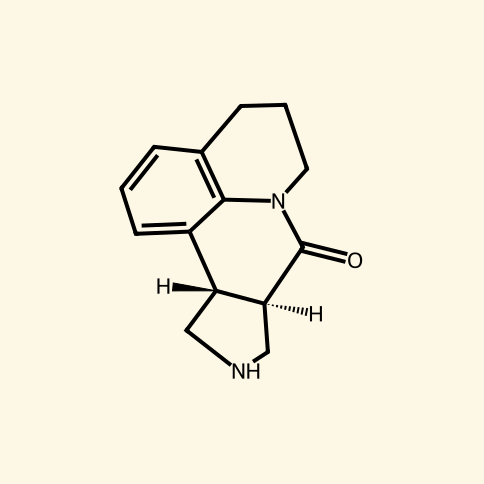 O=C1[C@H]2CNC[C@@H]2c2cccc3c2N1CCC3